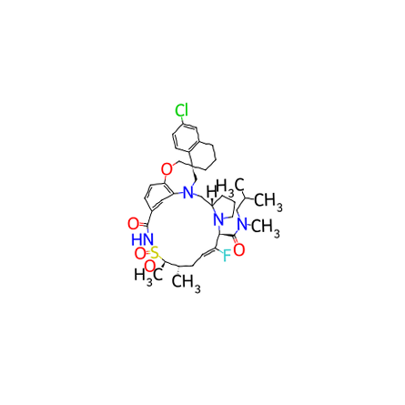 CC(C)CN(C)C(=O)[C@H]1/C(F)=C/C[C@H](C)[C@@H](C)S(=O)(=O)NC(=O)c2ccc3c(c2)N(C[C@@H]2CCCN21)C[C@@]1(CCCc2cc(Cl)ccc21)CO3